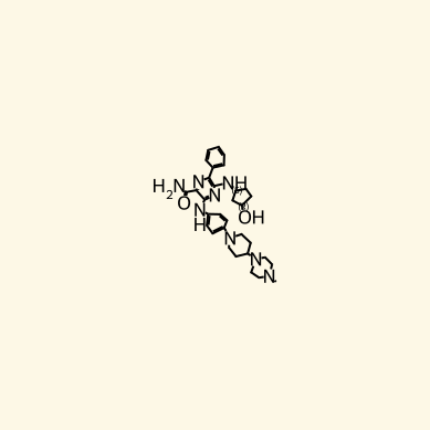 CN1CCN(C2CCN(c3ccc(Nc4nc(N[C@H]5CC[C@@H](O)C5)c(-c5ccccc5)nc4C(N)=O)cc3)CC2)CC1